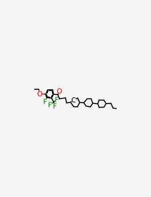 CCCC1CCC(C2CCC(C3CCC(CCCC(=O)c4ccc(OCC)c(F)c4C(F)(F)F)CC3)CC2)CC1